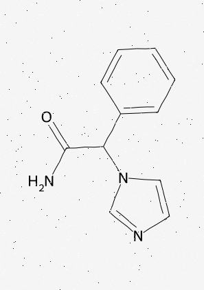 NC(=O)C(c1ccccc1)n1ccnc1